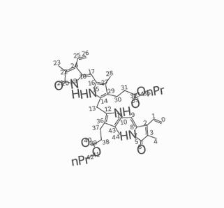 C=CC1=C(C)C(=O)N/C1=C\c1[nH]c(Cc2[nH]c(/C=C3\NC(=O)C(C)=C3C=C)c(C)c2CCC(=O)OCCC)c(CCC(=O)OCCC)c1C